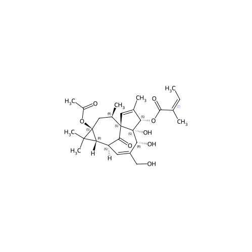 C/C=C(/C)C(=O)O[C@H]1C(C)=C[C@]23C(=O)[C@@H](C=C(CO)[C@@H](O)[C@]12O)[C@@H]1C(C)(C)[C@]1(OC(C)=O)C[C@H]3C